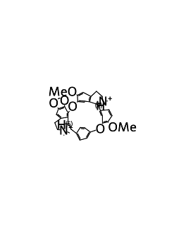 COc1ccc2cc1Oc1ccc(cc1)C[C@H]1c3c(cc4c(c3Oc3cc5c(cc3OC)CC[N+](C)(C)[C@H]25)OCO4)CC[N+]1(C)C